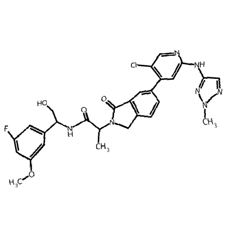 COc1cc(F)cc(C(CO)NC(=O)C(C)N2Cc3ccc(-c4cc(Nc5cnn(C)n5)ncc4Cl)cc3C2=O)c1